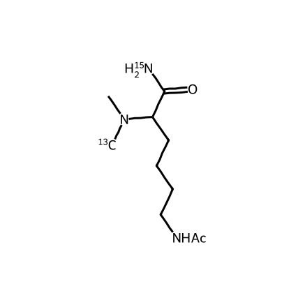 CN([13CH3])C(CCCCNC([13CH3])=O)C([15NH2])=O